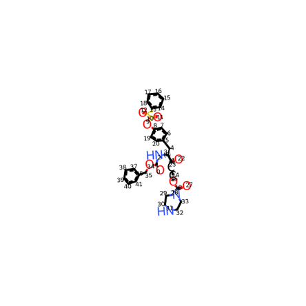 O=C(N[C@@H](Cc1ccc(OS(=O)(=O)c2ccccc2)cc1)C(=O)CCOC(=O)N1CCNCC1)OCc1ccccc1